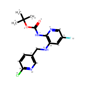 CC(C)(C)OC(=O)Nc1ncc(F)cc1NCc1ccc(Cl)nc1